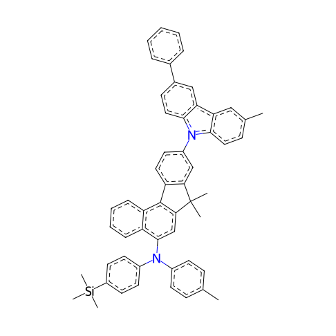 Cc1ccc(N(c2ccc([Si](C)(C)C)cc2)c2cc3c(c4ccccc24)-c2ccc(-n4c5ccc(C)cc5c5cc(-c6ccccc6)ccc54)cc2C3(C)C)cc1